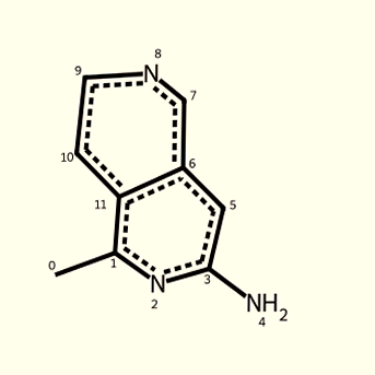 Cc1nc(N)cc2cnccc12